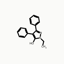 CCn1nc(-c2ccccc2)c(-c2ccccc2)c1O